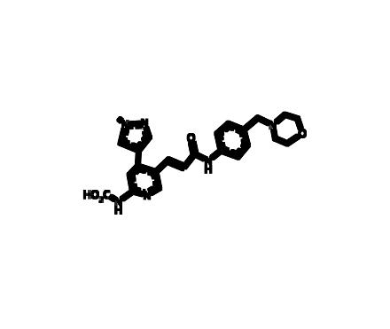 Cn1cc(-c2cc(NC(=O)O)ncc2C=CC(=O)Nc2ccc(CN3CCOCC3)cc2)cn1